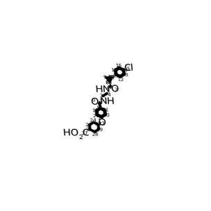 O=C(NCCNC(=O)[C@H]1C[C@@H]1c1ccc(Cl)cc1)c1ccc(O[C@H]2CC[C@@H](C(=O)O)CC2)cc1